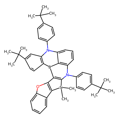 CC(C)(C)c1ccc(N2C3=C(B4c5ccc(C(C)(C)C)cc5N(c5ccc(C(C)(C)C)cc5)c5cccc2c54)c2oc4ccccc4c2[Si]3(C)C)cc1